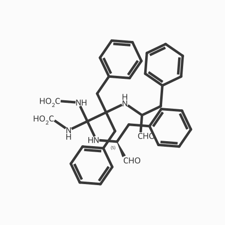 O=CC(Cc1ccccc1)NC(Cc1ccccc1)(Cc1ccccc1)C(NC(=O)O)(NC(=O)O)N[C@H](C=O)Cc1ccccc1